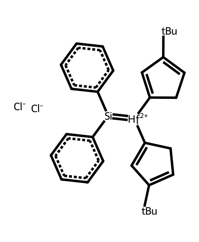 CC(C)(C)C1=CC[C]([Hf+2]([C]2=CC(C(C)(C)C)=CC2)=[Si](c2ccccc2)c2ccccc2)=C1.[Cl-].[Cl-]